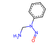 NCN(N=O)c1ccccc1